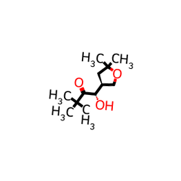 CC1(C)C[C@H]([C@H](O)C(=O)C(C)(C)C)CO1